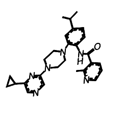 Cc1ncccc1C(=O)Nc1ccc(C(C)C)cc1N1CCN(c2cncc(C3CC3)n2)CC1